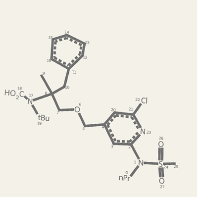 CCCN(c1cc(COCC(C)(Cc2ccccc2)N(C(=O)O)C(C)(C)C)cc(Cl)n1)S(C)(=O)=O